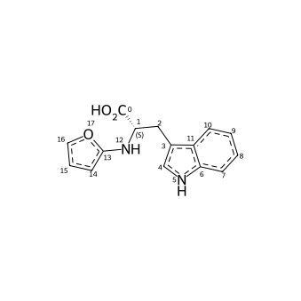 O=C(O)[C@H](Cc1c[nH]c2ccccc12)Nc1ccco1